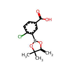 C=C1OB(c2cc(C(=O)O)ccc2Cl)OC1(C)C